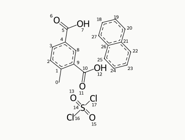 Cc1ccc(C(=O)O)cc1C(=O)O.O=S(=O)(Cl)Cl.c1ccc2ccccc2c1